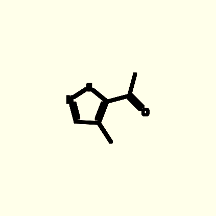 CC(=O)c1sncc1C